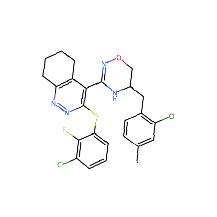 Cc1ccc(CC2CON=C(c3c(Sc4cccc(Cl)c4F)nnc4c3CCCC4)N2)c(Cl)c1